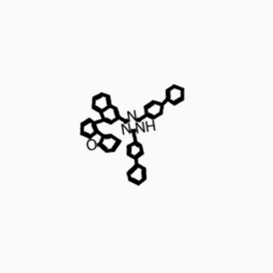 C1=CC(C2C=CC(C3=NC(c4cc(-c5cccc6oc7ccccc7c56)c5ccccc5c4)=NC(c4ccc(-c5ccccc5)cc4)N3)=CC2)=CCC1